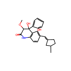 COC1C(=O)Nc2ccc(C=C3CCC(C)C3)c(O)c2C1(O)c1ccccc1